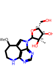 COC1CCNc2ncnc3c2c1cn3C1O[C@H](CO)[C@@H](O)[C@@]1(C)O